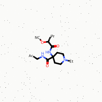 CCN1CCC(NC(=O)C(OC#N)C(C)C)(C(=O)NCC(C)=O)CC1